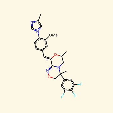 COc1cc(/C=C2\OC(C)CN3C2=NOCC3(C)c2cc(F)c(F)c(F)c2)ccc1-n1cnc(C)c1